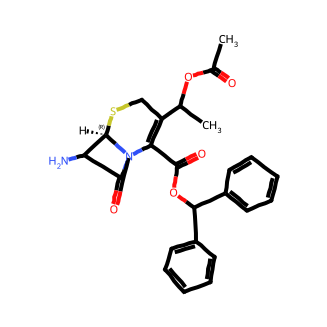 CC(=O)OC(C)C1=C(C(=O)OC(c2ccccc2)c2ccccc2)N2C(=O)C(N)[C@H]2SC1